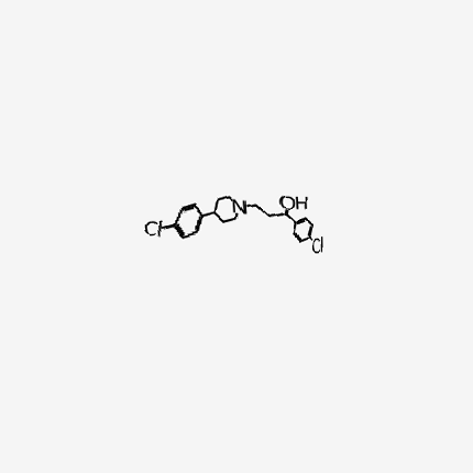 OC(CCN1CCC(c2ccc(Cl)cc2)CC1)c1ccc(Cl)cc1